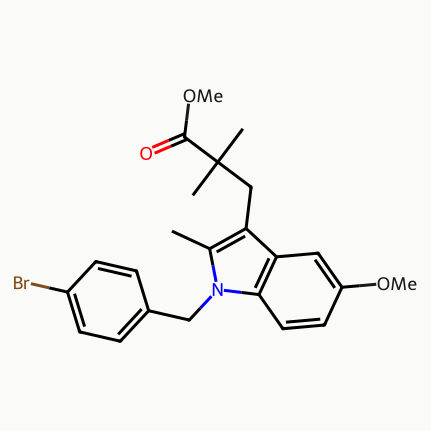 COC(=O)C(C)(C)Cc1c(C)n(Cc2ccc(Br)cc2)c2ccc(OC)cc12